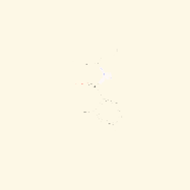 O=C(NC(C(=O)O)C(=O)O)c1ccc(F)cc1C(F)(F)F